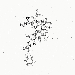 CC(C)[C@H](CNC(=O)OCc1ccccc1)NC(=O)N[C@H](C(=O)N1C[C@H]2[C@@H]([C@H]1C(=O)NC(CC1CC1)C(=O)C(N)=O)C2(C)C)C(C)(C)C